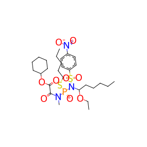 CCCCCSP(=O)(N(C)C(=O)C(=O)OC1CCCCC1)N(C(CCCCC)OCC)S(=O)(=O)c1ccc([N+](=O)[O-])cc1